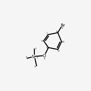 C[Si](C)(C)OC1C=CC(Br)C=C1